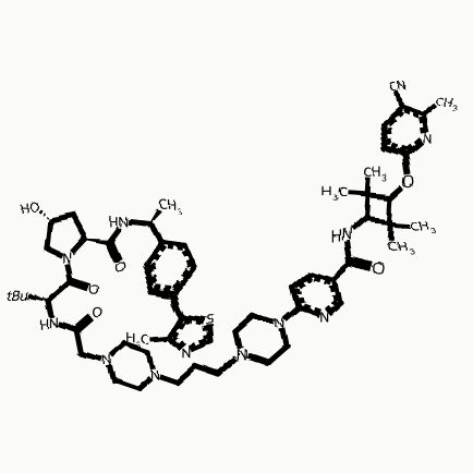 Cc1nc(OC2C(C)(C)C(NC(=O)c3ccc(N4CCN(CCCN5CCN(CC(=O)N[C@H](C(=O)N6C[C@H](O)C[C@H]6C(=O)N[C@@H](C)c6ccc(-c7scnc7C)cc6)C(C)(C)C)CC5)CC4)nc3)C2(C)C)ccc1C#N